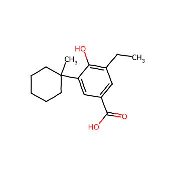 CCc1cc(C(=O)O)cc(C2(C)CCCCC2)c1O